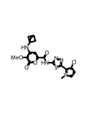 COc1c(NC23CC(C2)C3)cc(C(=O)Nc2nnc(-c3c(Cl)ccn3C)s2)oc1=O